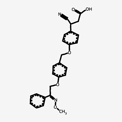 CON=C(COc1ccc(COc2ccc(C(C#N)CC(=O)O)cc2)cc1)c1ccccc1